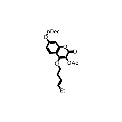 CCC=CCCOc1c(OC(C)=O)c(=O)oc2cc(OCCCCCCCCCC)ccc12